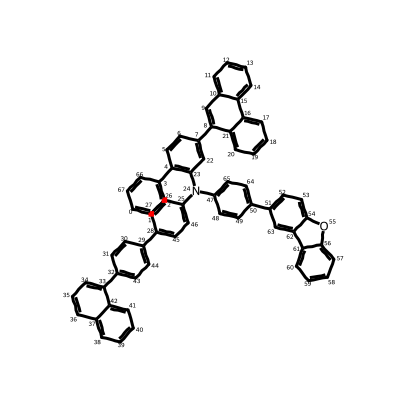 c1ccc(-c2ccc(-c3cc4ccccc4c4ccccc34)cc2N(c2ccc(-c3ccc(-c4cccc5ccccc45)cc3)cc2)c2ccc(-c3ccc4oc5ccccc5c4c3)cc2)cc1